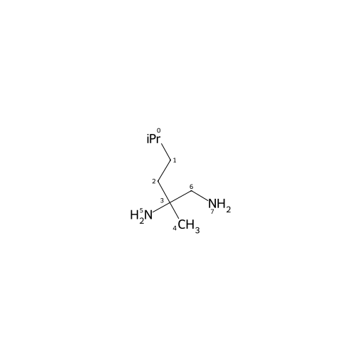 CC(C)CCC(C)(N)CN